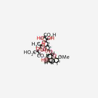 COc1ccc2c3c1O[C@@H]1C(OC(=O)C[C@H](CC(=O)[C@H](O)[C@@H](O)C(=O)O)C(=O)O[C@@H](C)C(=O)O[C@@H](CC(=O)O)C(=O)O)=CC[C@]4(O)[C@@H](CCC[C@@]314)C2